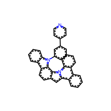 c1cc(-c2ccncc2)cc(-n2c3ccccc3c3ccc4cc5c6ccccc6c6ccccc6n5c4c32)c1